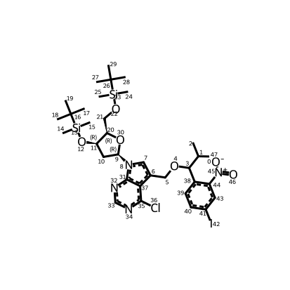 CC(C)C(OCc1cn([C@H]2C[C@@H](O[Si](C)(C)C(C)(C)C)[C@@H](CO[Si](C)(C)C(C)(C)C)O2)c2ncnc(Cl)c12)c1ccc(I)cc1[N+](=O)[O-]